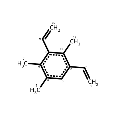 C=Cc1cc(C)c(C)c(C=C)c1C